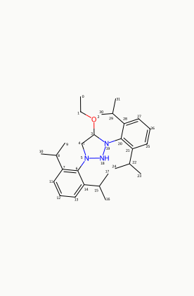 CCOC1[C]N(c2c(C(C)C)cccc2C(C)C)NN1c1c(C(C)C)cccc1C(C)C